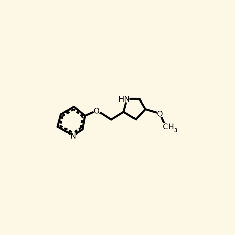 COC1CNC(COc2cccnc2)C1